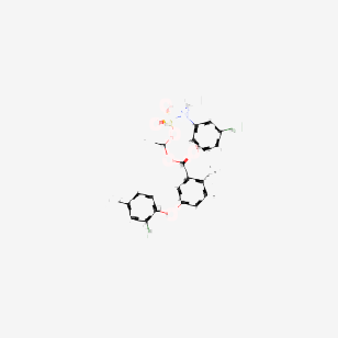 CC(OC(=O)c1cc(Oc2ccc(C(F)(F)F)cc2Cl)ccc1[N+](=O)[O-])OS(=O)(=O)N(C)c1cccc(Cl)c1